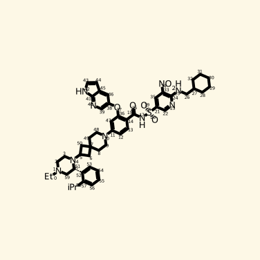 CCN1CCN(C2CC3(CCN(c4ccc(C(=O)NS(=O)(=O)c5cnc(NCC6CCCCC6)c([N+](=O)[O-])c5)c(Oc5cnc6[nH]ccc6c5)c4)CC3)C2)[C@H](c2ccccc2C(C)C)C1